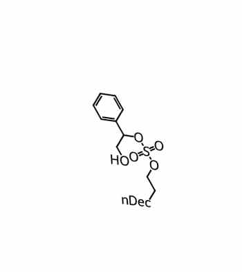 CCCCCCCCCCCCOS(=O)(=O)OC(CO)c1ccccc1